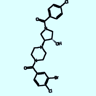 O=C(c1ccc(Cl)c(Br)c1)N1CCN([C@H]2CN(C(=O)c3ccc(Cl)cc3)C[C@@H]2O)CC1